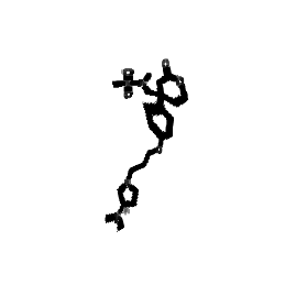 CN(C)[C@@H]1CCN(CCCOc2ccc(C3(CN(C)S(C)(=O)=O)CCOC(=O)C3)cc2)C1